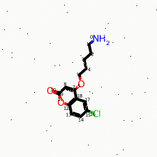 NCCCCCOc1cc(=O)oc2ccc(Cl)cc12